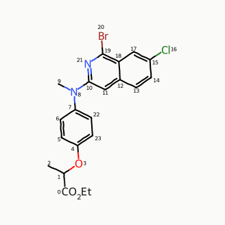 CCOC(=O)C(C)Oc1ccc(N(C)c2cc3ccc(Cl)cc3c(Br)n2)cc1